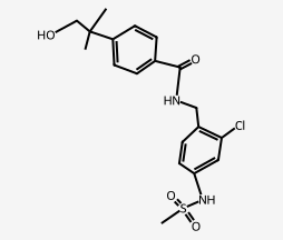 CC(C)(CO)c1ccc(C(=O)NCc2ccc(NS(C)(=O)=O)cc2Cl)cc1